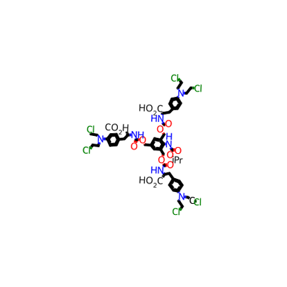 CC(C)OC(=O)Nc1c(COC(=O)NC(Cc2ccc(N(CCCl)CCCl)cc2)C(=O)O)cc(COC(=O)NC(Cc2ccc(N(CCCl)CCCl)cc2)C(=O)O)cc1COC(=O)NC(Cc1ccc(N(CCCl)CCCl)cc1)C(=O)O